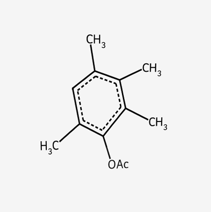 CC(=O)Oc1c(C)cc(C)c(C)c1C